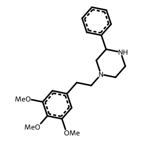 COc1cc(CCN2CCNC(c3ccccc3)C2)cc(OC)c1OC